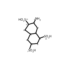 NC1CC2C(CC(S(=O)(=O)O)CC2S(=O)(=O)O)CC1S(=O)(=O)O